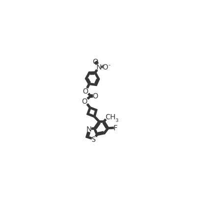 Cc1c(F)cc2scnc2c1C1CC(OC(=O)Oc2ccc([N+](=O)[O-])cc2)C1